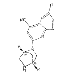 N#Cc1cc(N2C[C@H]3C[C@@H]2CN3)nc2ccc(Cl)cc12